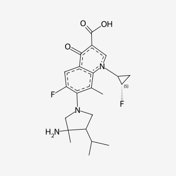 Cc1c(N2CC(C(C)C)C(C)(N)C2)c(F)cc2c(=O)c(C(=O)O)cn(C3C[C@@H]3F)c12